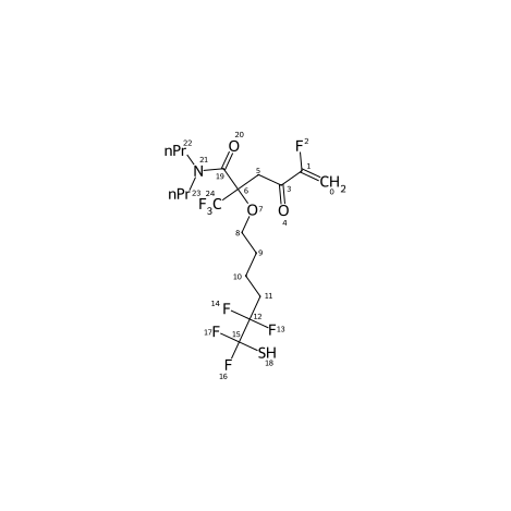 C=C(F)C(=O)CC(OCCCCC(F)(F)C(F)(F)S)(C(=O)N(CCC)CCC)C(F)(F)F